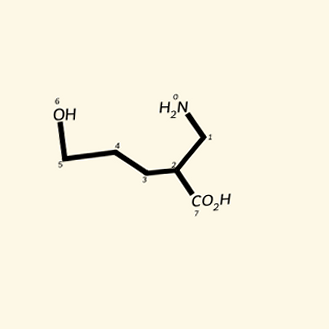 NCC(CCCO)C(=O)O